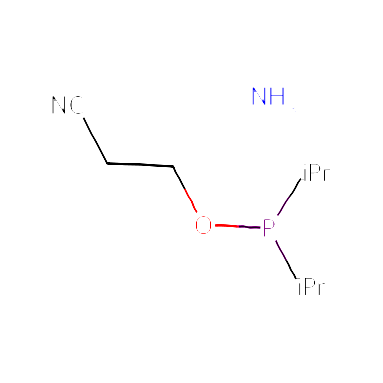 CC(C)P(OCCC#N)C(C)C.N